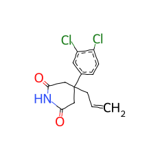 C=CCC1(c2ccc(Cl)c(Cl)c2)CC(=O)NC(=O)C1